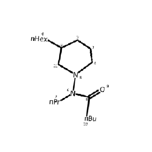 CCCCCCC1CCCN(N(CCC)C(=O)CCCC)C1